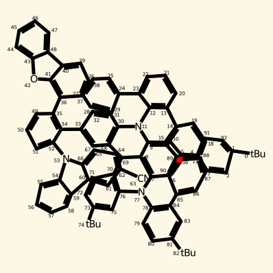 CC(C)(C)c1ccc(-c2cc3c4c(c2)N(c2c(-c5ccccc5)cccc2-c2ccccc2)c2ccc(-c5c(-c6cccc7c6oc6ccccc67)cccc5-n5c6ccccc6c6cc(C#N)ccc65)cc2C4c2ccc(C(C)(C)C)cc2N3c2ccc(C(C)(C)C)cc2-c2ccccc2)cc1